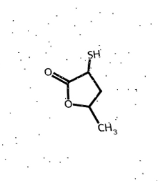 CC1CC(S)C(=O)O1